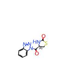 O=C1N[C@H](C(=O)n2nnc3ccccc32)CS1